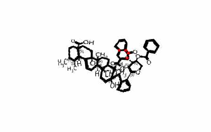 C[C@H]1[C@H](C)CC[C@]2(C(=O)O)CC[C@]3(C)C(=CC[C@@H]4[C@@]5(C)CC[C@@](O)(Cc6ccccc6[C@@H]6OC[C@H](OC(=O)c7ccccc7)[C@H](OC(=O)c7ccccc7)[C@H]6OC(=O)c6ccccc6)C(C)(C)C5CC[C@]43C)[C@H]12